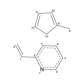 C=Cc1ccccn1.CC1=CC=CC1